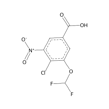 O=C(O)c1cc(OC(F)F)c(Cl)c([N+](=O)[O-])c1